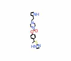 CC(Sc1ncc[nH]1)c1ccc(OC(=O)N2CCN(CCc3ccc[nH]3)CC2)cc1